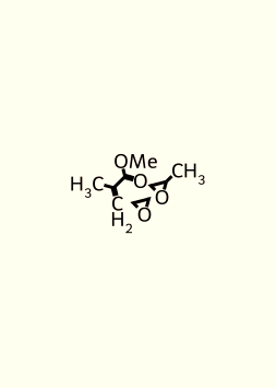 C1CO1.C=C(C)C(=O)OC.CC1CO1